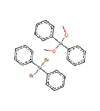 Br[Si](Br)(c1ccccc1)c1ccccc1.CO[Si](OC)(c1ccccc1)c1ccccc1